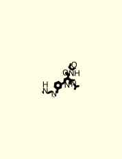 CNCCN(C)Cc1cccc(-c2cc(C(=O)NC3CCOC3)c3c(n2)N(C(C)C)C3)c1